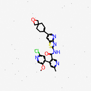 COc1cnc(Cl)cc1-c1cc(C)ncc1C(=O)Nc1nc2ncc(C3=CCC4(CC3)COC4)cc2s1